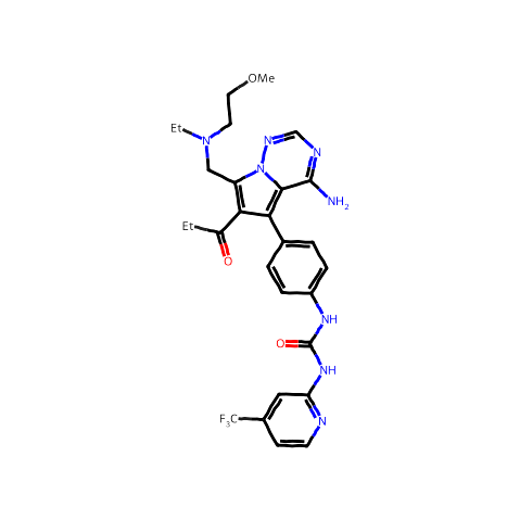 CCC(=O)c1c(-c2ccc(NC(=O)Nc3cc(C(F)(F)F)ccn3)cc2)c2c(N)ncnn2c1CN(CC)CCOC